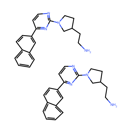 NCCC1CCN(c2nccc(-c3ccc4ccccc4c3)n2)C1.NCCC1CCN(c2nccc(-c3ccc4ccccc4c3)n2)C1